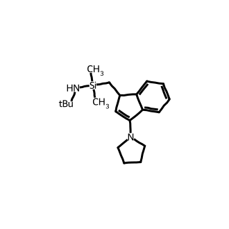 CC(C)(C)N[Si](C)(C)CC1C=C(N2CCCC2)c2ccccc21